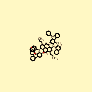 CCCc1cc(N(c2cccc3c2CCCC3)c2c(C)cc3c(c2C)c2ccccc2n3-c2ccccc2)c2ccc3c(CCC)cc(N(c4cccc5c4CCCC5)c4c(C)ccc5c6ccccc6n(-c6ccccc6)c45)c4ccc1c2c34